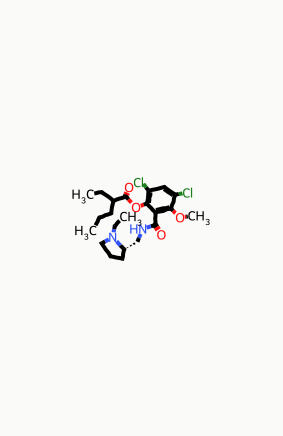 CCCC(CC)C(=O)Oc1c(Cl)cc(Cl)c(OC)c1C(=O)NC[C@@H]1CCCN1CC